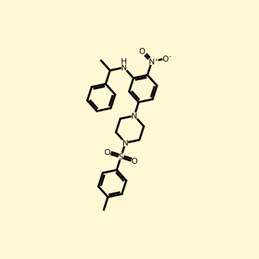 Cc1ccc(S(=O)(=O)N2CCN(c3ccc([N+](=O)[O-])c(NC(C)c4ccccc4)c3)CC2)cc1